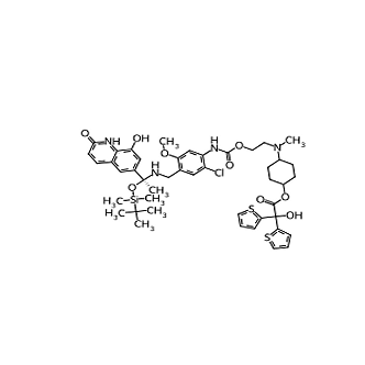 COc1cc(NC(=O)OCCN(C)C2CCC(OC(=O)C(O)(c3cccs3)c3cccs3)CC2)c(Cl)cc1CN[C@@](C)(O[Si](C)(C)C(C)(C)C)c1cc(O)c2[nH]c(=O)ccc2c1